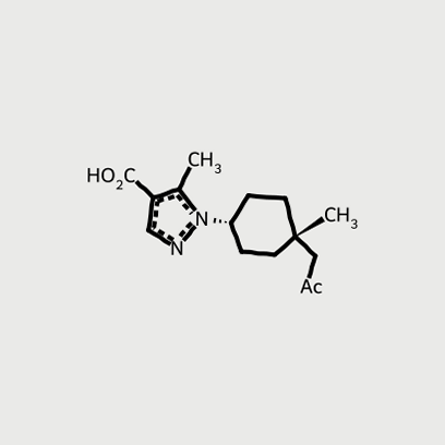 CC(=O)C[C@]1(C)CC[C@H](n2ncc(C(=O)O)c2C)CC1